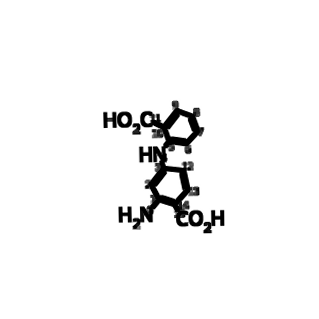 Nc1cc(Nc2ccccc2C(=O)O)ccc1C(=O)O